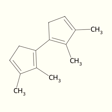 CC1=CCC(C2=C(C)C(C)=CC2)=C1C